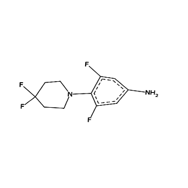 Nc1cc(F)c(N2CCC(F)(F)CC2)c(F)c1